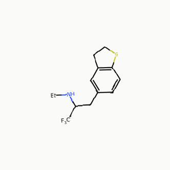 CCNC(Cc1ccc2c(c1)CCS2)C(F)(F)F